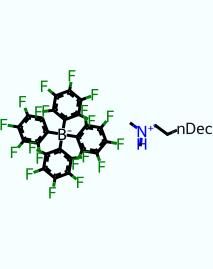 CCCCCCCCCCCC[NH+](C)C.Fc1c(F)c(F)c([B-](c2c(F)c(F)c(F)c(F)c2F)(c2c(F)c(F)c(F)c(F)c2F)c2c(F)c(F)c(F)c(F)c2F)c(F)c1F